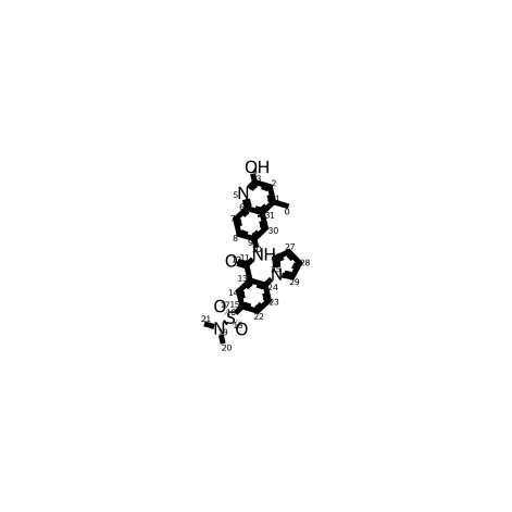 Cc1cc(O)nc2ccc(NC(=O)c3cc(S(=O)(=O)N(C)C)ccc3-n3cccc3)cc12